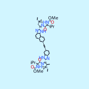 C=C[C@]12CC1N(C(=O)[C@@H](NC(=O)OC)C(C)C)[C@H](c1nc3ccc4cc(C#Cc5ccc6nc([C@@H]7C(=C)[C@@]8(C=C)CC8N7C(=O)[C@@H](NC(=O)OC)C(C)C)[nH]c6c5)ccc4c3[nH]1)C2